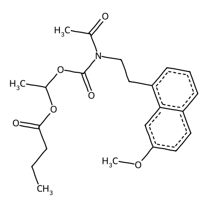 CCCC(=O)OC(C)OC(=O)N(CCc1cccc2ccc(OC)cc12)C(C)=O